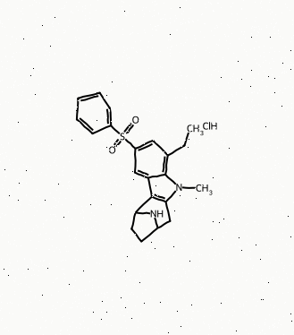 CCc1cc(S(=O)(=O)c2ccccc2)cc2c3c(n(C)c12)CC1CCC3N1.Cl